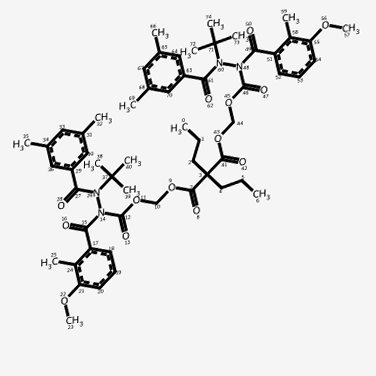 CCCC(CCC)(C(=O)OCOC(=O)N(C(=O)c1cccc(OC)c1C)N(C(=O)c1cc(C)cc(C)c1)C(C)(C)C)C(=O)OCOC(=O)N(C(=O)c1cccc(OC)c1C)N(C(=O)c1cc(C)cc(C)c1)C(C)(C)C